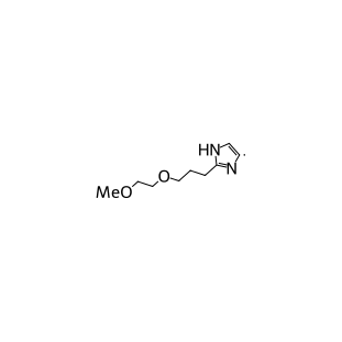 COCCOCCCc1n[c]c[nH]1